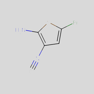 [C-]#[N+]c1cc(Br)sc1N